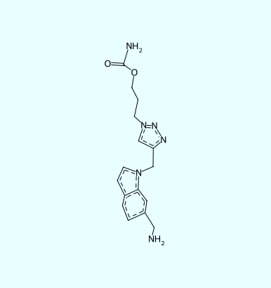 NCc1ccc2ccn(Cc3cn(CCCOC(N)=O)nn3)c2c1